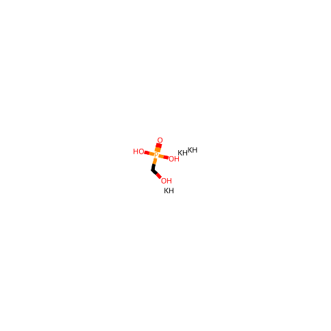 O=P(O)(O)CO.[KH].[KH].[KH]